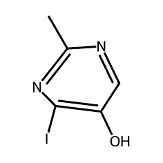 Cc1ncc(O)c(I)n1